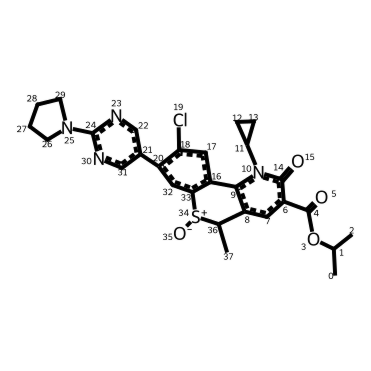 CC(C)OC(=O)c1cc2c(n(C3CC3)c1=O)-c1cc(Cl)c(-c3cnc(N4CCCC4)nc3)cc1[S+]([O-])C2C